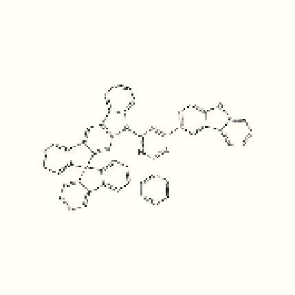 c1ccc(-c2nc(-c3ccc4oc5ccccc5c4c3)nc(-n3c4ccccc4c4cc5c(cc43)C3(c4ccccc4-c4ccccc43)c3ccccc3-5)n2)cc1